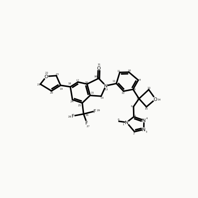 Cn1cnnc1CC1(c2cccc(N3Cc4c(cc(C5=CCOC5)cc4C(F)(F)F)C3=O)c2)COC1